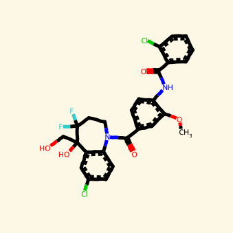 COc1cc(C(=O)N2CCC(F)(F)C(O)(CO)c3cc(Cl)ccc32)ccc1NC(=O)c1ccccc1Cl